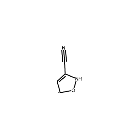 N#CC1=C[CH]ON1